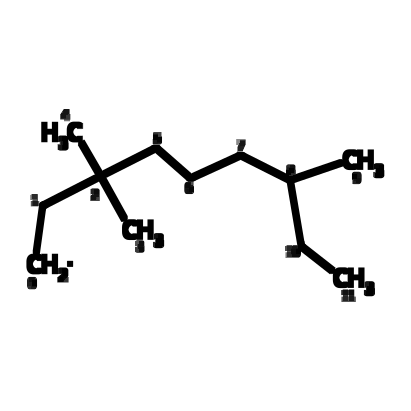 [CH2]CC(C)(C)CCCC(C)CC